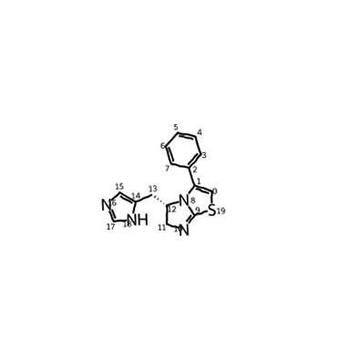 C1=C(c2ccccc2)N2C(=NC[C@@H]2Cc2cnc[nH]2)S1